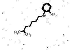 CC(C)CCCCCNc1ccccc1N